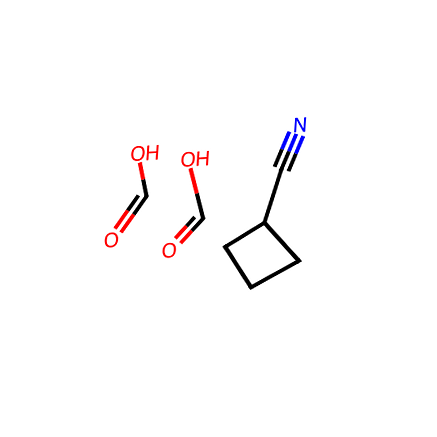 N#CC1CCC1.O=CO.O=CO